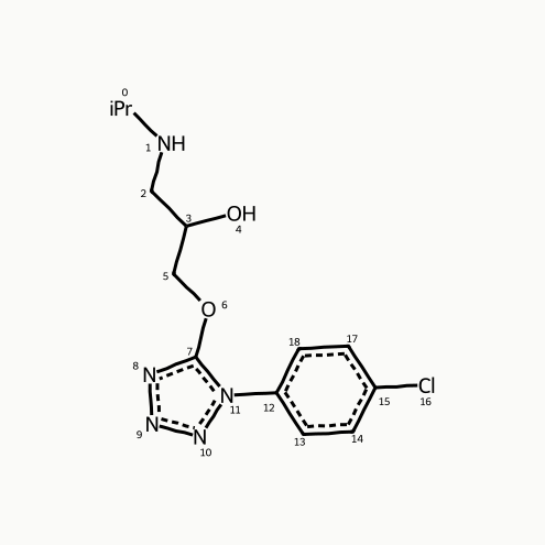 CC(C)NCC(O)COc1nnnn1-c1ccc(Cl)cc1